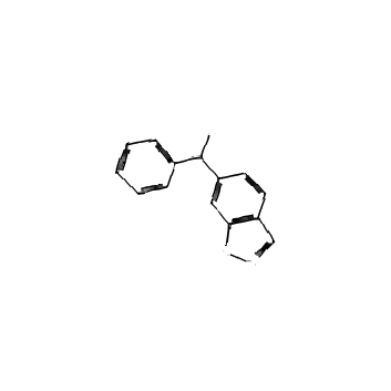 [CH2]CC(c1ccccc1)c1ccc2cn[nH]c2c1